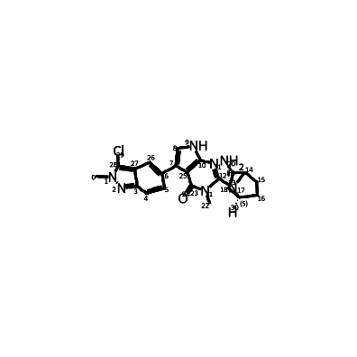 Cn1nc2ccc(-c3c[nH]c4nc(N5C6CC[C@H]5C[C@H]6N)n(C)c(=O)c34)cc2c1Cl